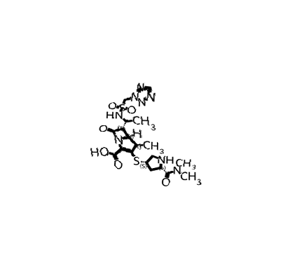 CC(NS(=O)(=O)Cn1ncnn1)[C@H]1C(=O)N2C(C(=O)O)=C(S[C@@H]3CN[C@H](C(=O)N(C)C)C3)[C@H](C)[C@H]12